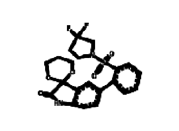 O=C1Nc2ccc(-c3ccccc3S(=O)(=O)N3CCC(F)(F)C3)cc2C12OCCCO2